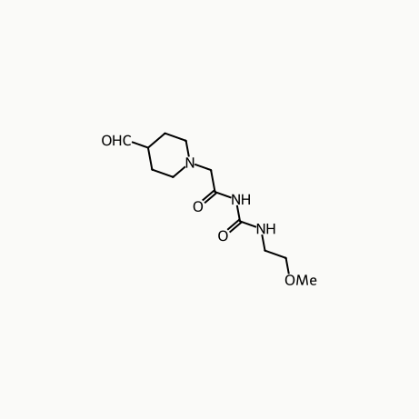 COCCNC(=O)NC(=O)CN1CCC(C=O)CC1